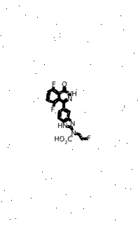 O=C(O)N(CCF)c1nc2cc(-c3n[nH]c(=O)c4c(F)ccc(F)c34)ccc2[nH]1